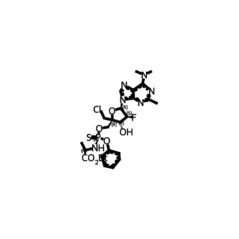 CCOC(=O)[C@@H](C)N[P@@](=S)(OC[C@@]1(CCl)O[C@@H](n2cnc3c(N(C)C)nc(C)nc32)[C@@H](F)[C@@H]1O)Oc1ccccc1